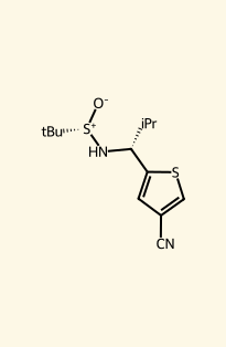 CC(C)[C@@H](N[S@@+]([O-])C(C)(C)C)c1cc(C#N)cs1